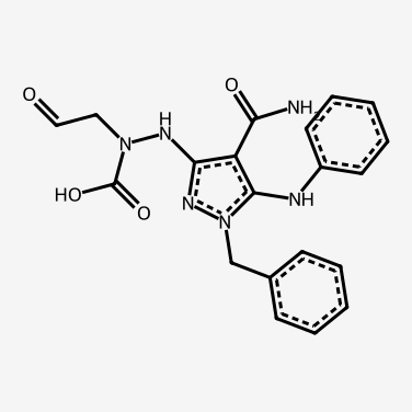 NC(=O)c1c(NN(CC=O)C(=O)O)nn(Cc2ccccc2)c1Nc1ccccc1